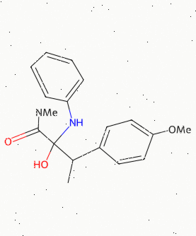 CNC(=O)C(O)(Nc1ccccc1)C(C)c1ccc(OC)cc1